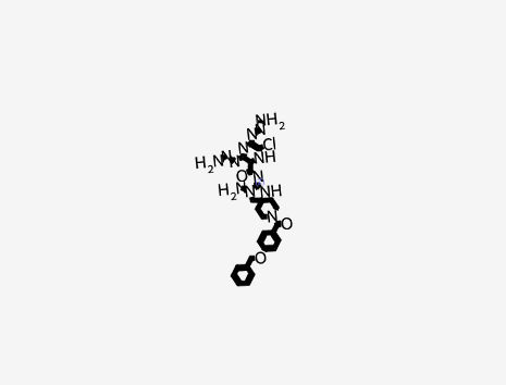 NN=NC1=NC(N=NN)=C(Cl)NC1C(=O)/N=C1/NC2(CCN(C(=O)c3ccc(OCc4ccccc4)cc3)CC2)CN1N